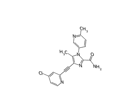 Cc1ccc(-n2c(C(N)=O)nc(C#Cc3cc(Cl)ccn3)c2C)cn1